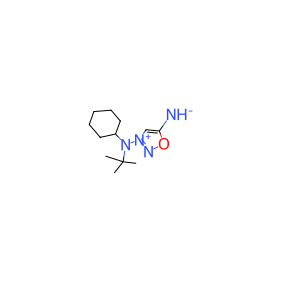 CC(C)(C)N(C1CCCCC1)[n+]1cc([NH-])on1